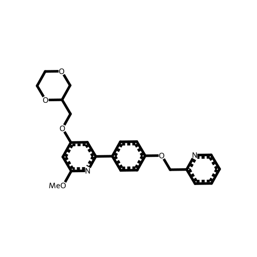 COc1cc(OCC2COCCO2)cc(-c2ccc(OCc3ccccn3)cc2)n1